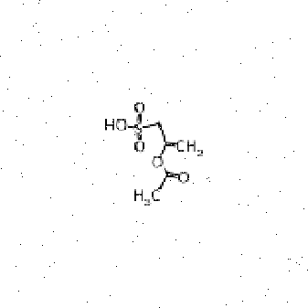 C=C(CS(=O)(=O)O)OC(C)=O